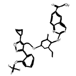 CCC1CC(OCc2c(-c3ccccc3OC(F)(F)F)noc2C2CC2)CC(C)C1Nc1ncc2cc(C(=O)O)ccc2n1